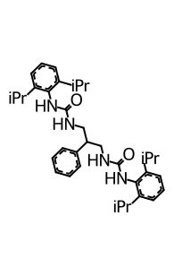 CC(C)c1cccc(C(C)C)c1NC(=O)NCC(CNC(=O)Nc1c(C(C)C)cccc1C(C)C)c1ccccc1